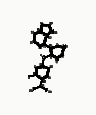 Cc1cc(Oc2ncncc2-c2cccc3ccnn23)ccc1C(F)F